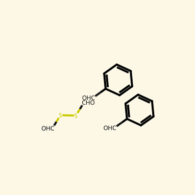 O=CSSC=O.O=Cc1ccccc1.O=Cc1ccccc1